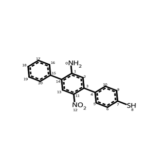 Nc1cc(-c2ccc(S)cc2)c([N+](=O)[O-])cc1-c1ccccc1